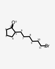 O=C1CCCC1CCCCCCBr